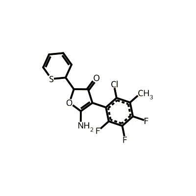 Cc1c(F)c(F)c(F)c(C2=C(N)OC(C3C=CC=CS3)C2=O)c1Cl